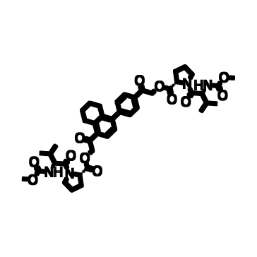 COC(=O)N[C@H](C(=O)N1CCC[C@H]1C(=O)OCC(=O)c1ccc(-c2ccc(C(=O)COC(=O)[C@@H]3CCCN3C(=O)[C@@H](NC(=O)OC)C(C)C)c3c2CCCC3)cc1)C(C)C